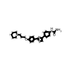 NC(=O)Nc1ccc(-c2csc(-c3ccc(OCCCN4CCCCC4)cc3)n2)cc1